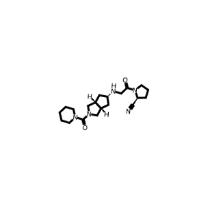 N#C[C@@H]1CCCN1C(=O)CN[C@@H]1C[C@@H]2CN(C(=O)N3CCCCC3)C[C@@H]2C1